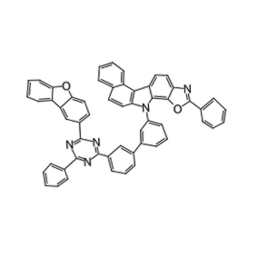 c1ccc(-c2nc(-c3cccc(-c4cccc(-n5c6ccc7ccccc7c6c6ccc7nc(-c8ccccc8)oc7c65)c4)c3)nc(-c3ccc4oc5ccccc5c4c3)n2)cc1